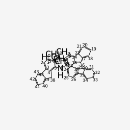 Cc1cc2c(c(NC3=C(C(C)(C)C)C=C4C(=Cc5ccccc54)C34C=CC=C3C4=Cc4ccccc43)c1C)Cc1ccccc1-2